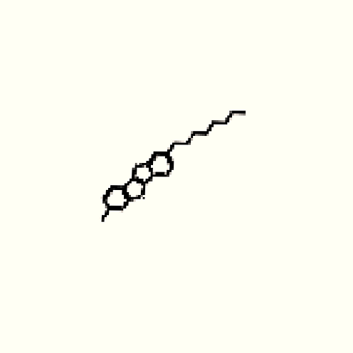 CCCCCCCCc1ccc2c(c1)sc1c3ccc(C)cc3sc21